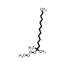 CCCCCCCCCCCCC(C)(C)OOOC